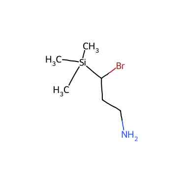 C[Si](C)(C)C(Br)CCN